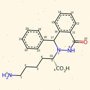 NCCCC[C@@H](C(=O)O)N1NC(=O)c2ccccc2C1c1ccccc1